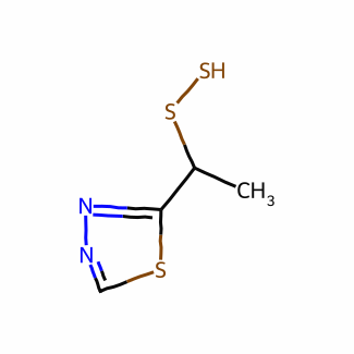 CC(SS)c1nncs1